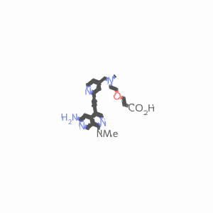 CNc1ncc(C#Cc2cc(CN(C)CCOCCC(=O)O)ccn2)c2cc(N)ncc12